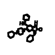 O=c1[nH]c2cc(Nc3ccccc3)c(N3CCN(C4CCCCC4)CC3)cc2n1CC1CCCCC1